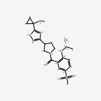 COC1(c2nc(C3CCN(C(=O)c4cc(S(C)(=O)=O)ccc4O[C@@H](C)C(F)(F)F)C3)no2)CC1